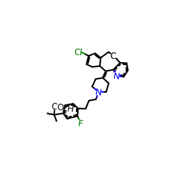 CC(C)(C(=O)O)c1ccc(CCCN2CCC(=C3c4ncccc4CCC4=CC(Cl)=CCC43)CC2)c(F)c1